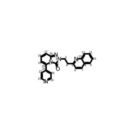 O=c1n(CCc2ccc3ccccc3n2)nc2cccc(-c3ccncc3)n12